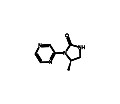 C[C@@H]1CNC(=O)N1c1cnccn1